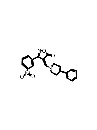 O=C1ON=C(c2cccc([N+](=O)[O-])c2)C1=CN1CCC(c2ccccc2)CC1